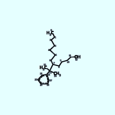 CCCCCCCC(CCCCO)C(C)(C)c1ccccc1